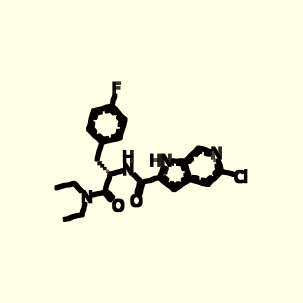 CCN(CC)C(=O)[C@H](Cc1ccc(F)cc1)NC(=O)c1cc2cc(Cl)ncc2[nH]1